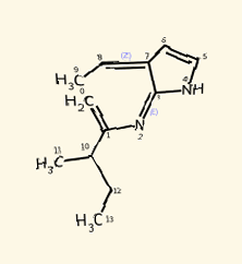 C=C(/N=C1/NC=C/C1=C/C)C(C)CC